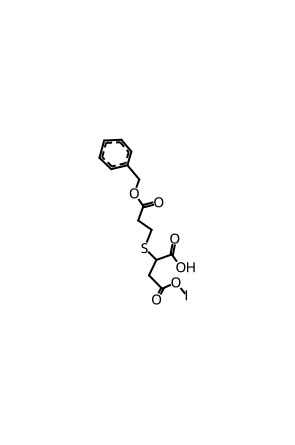 O=C(CC(SCCC(=O)OCc1ccccc1)C(=O)O)OI